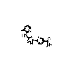 Cc1cccnc1Nc1nc(-c2ccc(C(=O)N(C)C)cn2)ns1